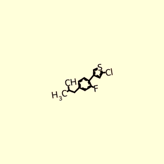 CC(C)Cc1ccc(-c2csc(Cl)c2)c(F)c1